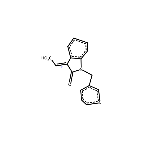 O=C(O)/C=C1/C(=O)N(Cc2cccnc2)c2ccccc21